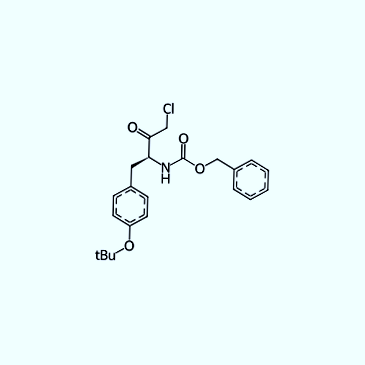 CC(C)(C)Oc1ccc(C[C@H](NC(=O)OCc2ccccc2)C(=O)CCl)cc1